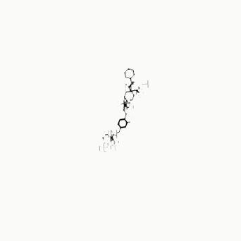 CC(C)(C)OC(=O)NCc1ccc(CCS(=O)(=O)N2CCC3(CC2)N=C(C2CCCCC2)NC3=O)c(C(F)(F)F)c1